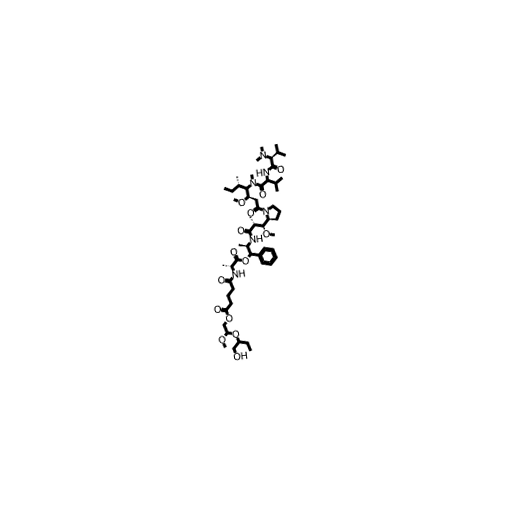 CCC(CO)OC(COC(=O)CCCC(=O)N[C@H](C)C(=O)OC(c1ccccc1)[C@@H](C)NC(=O)[C@H](C)[C@@H](OC)[C@@H]1CCCN1C(=O)C[C@@H](OC)C([C@@H](C)CC)N(C)C(=O)C(NC(=O)[C@H](C(C)C)N(C)C)C(C)C)OC